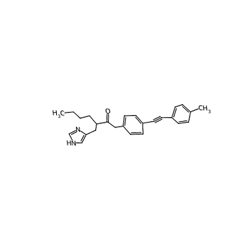 CCCCC(Cc1c[nH]cn1)C(=O)Cc1ccc(C#Cc2ccc(C)cc2)cc1